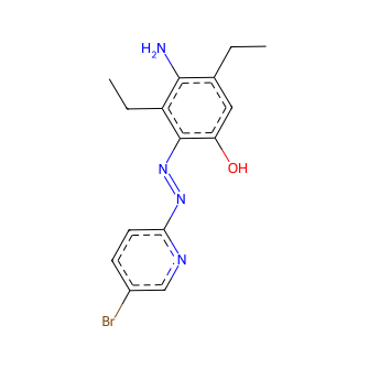 CCc1cc(O)c(N=Nc2ccc(Br)cn2)c(CC)c1N